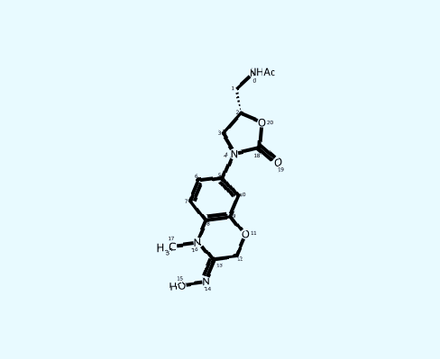 CC(=O)NC[C@H]1CN(c2ccc3c(c2)OCC(=NO)N3C)C(=O)O1